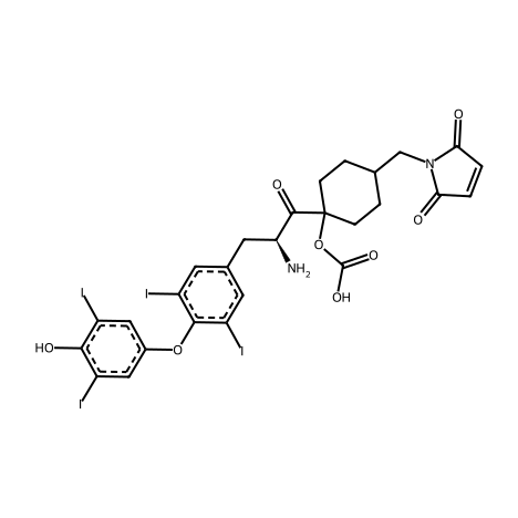 N[C@@H](Cc1cc(I)c(Oc2cc(I)c(O)c(I)c2)c(I)c1)C(=O)C1(OC(=O)O)CCC(CN2C(=O)C=CC2=O)CC1